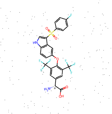 N[C@@H](C(=O)O)c1cc(C(F)(F)F)c(Oc2ccc3[nH]cc(S(=O)(=O)c4ccc(F)cc4)c3c2)c(C(F)(F)F)c1